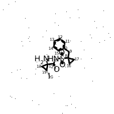 N[C@]1(C(=O)NS(=O)(=O)C2(Cc3ccccc3)CC2)C[C@H]1I